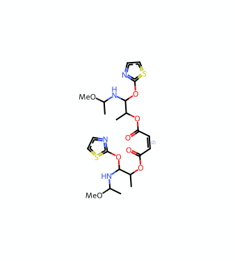 COC(C)NC(Oc1nccs1)C(C)OC(=O)/C=C\C(=O)OC(C)C(NC(C)OC)Oc1nccs1